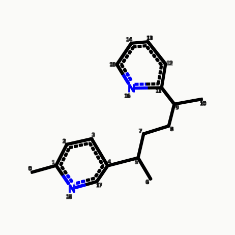 Cc1ccc(C(C)CCC(C)c2ccccn2)cn1